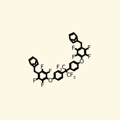 Fc1c(F)c(Oc2ccc(C(c3ccc(Oc4c(F)c(F)c(CC5CC6C=CC5C6)c(F)c4F)cc3)(C(F)(F)F)C(F)(F)F)cc2)c(F)c(F)c1CC1CC2C=CC1C2